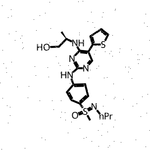 CCCN=S(C)(=O)c1ccc(Nc2ncc(-c3cccs3)c(N[C@H](C)CO)n2)cc1